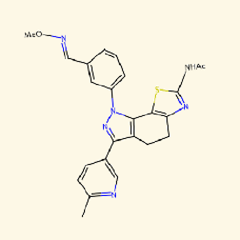 CON=Cc1cccc(-n2nc(-c3ccc(C)nc3)c3c2-c2sc(NC(C)=O)nc2CC3)c1